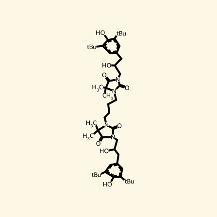 CC(C)(C)c1cc(CC(O)CN2C(=O)N(CCCCN3C(=O)N(CC(O)Cc4cc(C(C)(C)C)c(O)c(C(C)(C)C)c4)C(=O)C3(C)C)C(C)(C)C2=O)cc(C(C)(C)C)c1O